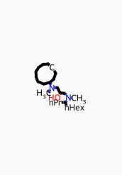 CCCCCCC(CCC)N(C)CC(O)CN(C)C1CCCCCCCCCC1